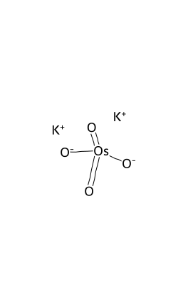 [K+].[K+].[O]=[Os](=[O])([O-])[O-]